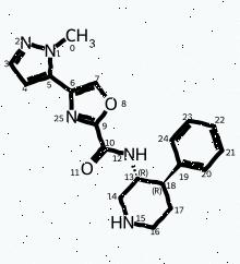 Cn1nccc1-c1coc(C(=O)N[C@H]2CNCC[C@@H]2c2ccccc2)n1